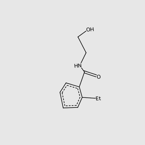 CCc1ccccc1C(=O)NCCO